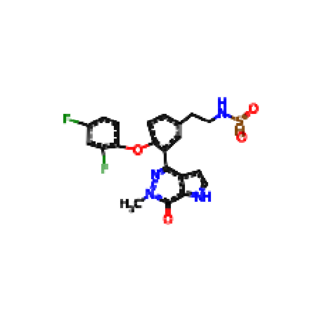 Cn1nc(-c2cc(CCN[SH](=O)=O)ccc2Oc2ccc(F)cc2F)c2cc[nH]c2c1=O